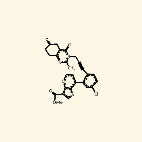 COC(=O)c1csc2c(-c3cc(Cl)ccc3C#CCn3c(C)nc4c(c3=O)CC(=O)CC4)ccnc12